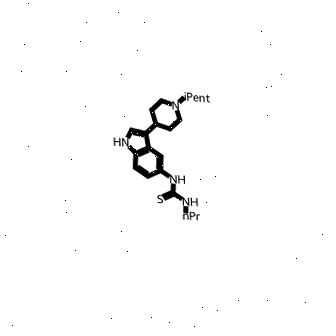 CCCNC(=S)Nc1ccc2[nH]cc(C3CCN(C(C)CCC)CC3)c2c1